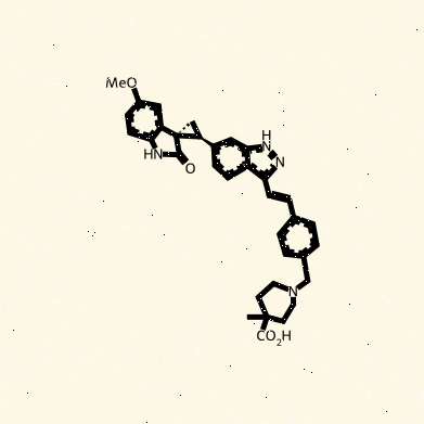 COc1ccc2c(c1)[C@]1(C[C@H]1c1ccc3c(/C=C/c4ccc(CN5CCC(C)(C(=O)O)CC5)cc4)n[nH]c3c1)C(=O)N2